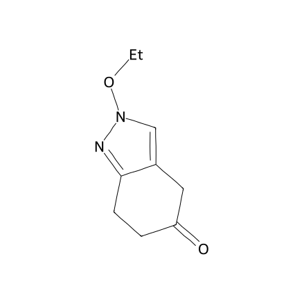 CCOn1cc2c(n1)CCC(=O)C2